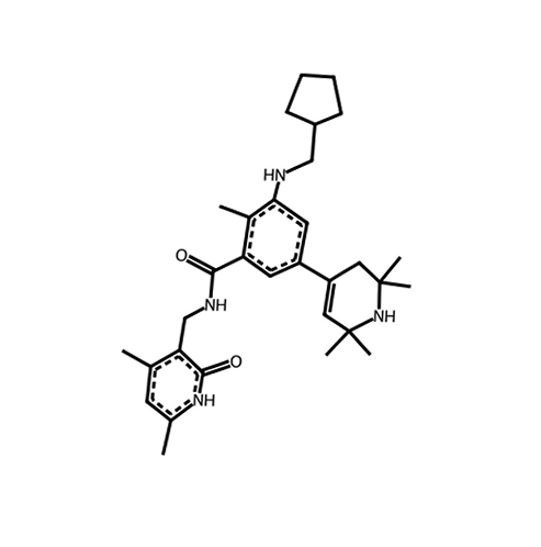 Cc1cc(C)c(CNC(=O)c2cc(C3=CC(C)(C)NC(C)(C)C3)cc(NCC3CCCC3)c2C)c(=O)[nH]1